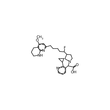 COc1cc(CCCCC(F)C2CCN(C(C(=O)O)c3cccnc3C3CC3)C2)nc2c1CCCN2